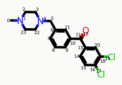 CN1CCN(Cc2cccc(C(=O)c3ccc(Cl)c(Cl)c3)c2)CC1